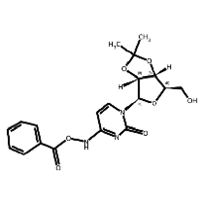 CC1(C)O[C@@H]2[C@H](O1)[C@@H](CO)O[C@H]2n1ccc(NOC(=O)c2ccccc2)nc1=O